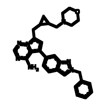 Nc1ncnn2c(CC3CC3CN3CCOCC3)cc(-c3ccc4cn(Cc5ccccc5)nc4c3)c12